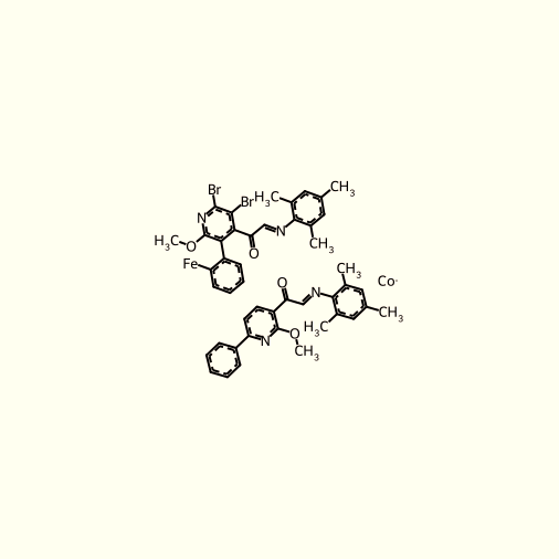 COc1nc(-c2ccccc2)ccc1C(=O)C=Nc1c(C)cc(C)cc1C.COc1nc(Br)c(Br)c(C(=O)C=Nc2c(C)cc(C)cc2C)c1-c1cccc[c]1[Fe].[Co]